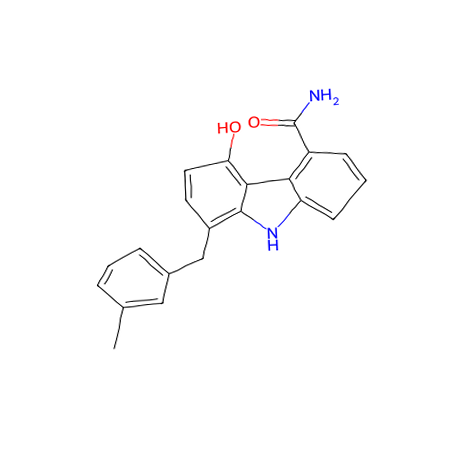 Cc1cccc(Cc2ccc(O)c3c2[nH]c2cccc(C(N)=O)c23)c1